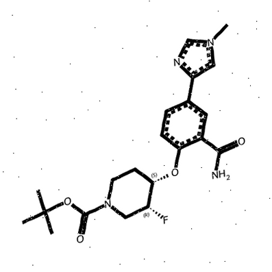 Cn1cnc(-c2ccc(O[C@H]3CCN(C(=O)OC(C)(C)C)C[C@H]3F)c(C(N)=O)c2)c1